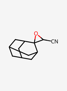 N#CC1OC12C1CC3CC(C1)CC2C3